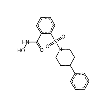 O=C(NO)c1ccccc1S(=O)(=O)N1CCC(c2ccccc2)CC1